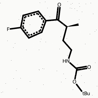 C[C@@H](CCNC(=O)OC(C)(C)C)C(=O)c1ccc(F)cc1